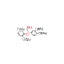 COc1ccc(C(CO)Oc2c(OC)cccc2OC)cc1OC